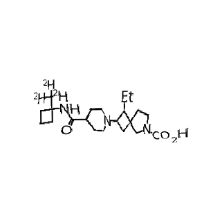 [2H]C([2H])([2H])C1(NC(=O)C2CCN(C3C[C@]4(CCN(C(=O)O)C4)C3CC)CC2)CCC1